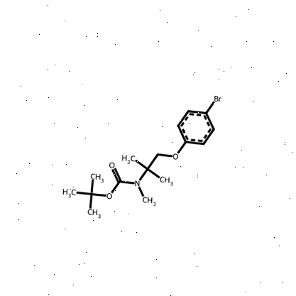 CN(C(=O)OC(C)(C)C)C(C)(C)COc1ccc(Br)cc1